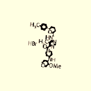 Br.CO[C@H]1COCC[C@H]1NC1CCN(C(=O)c2ncnc(NC[C@H]3CCC[C@@H](c4ccc(C)cc4)O3)c2C)CC1